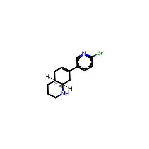 Brc1ccc(C2=CC[C@@H]3CCCN[C@@H]3C2)cn1